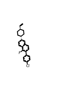 C=C[C@H]1CC[C@H](c2ccc3c(F)c(-c4ccc(Cl)cc4)ccc3c2)CC1